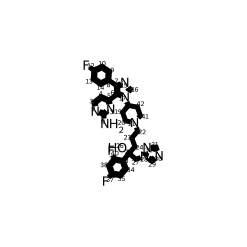 Nc1nccc(-c2c(-c3ccc(F)cc3)ncn2C2CCN(CCCC(O)(Cn3cncn3)c3ccc(F)cc3F)CC2)n1